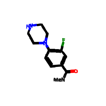 CNC(=O)c1ccc(N2CCNCC2)c(F)c1